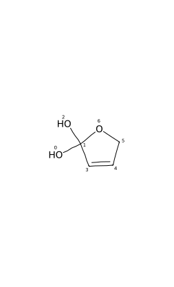 OC1(O)C=CCO1